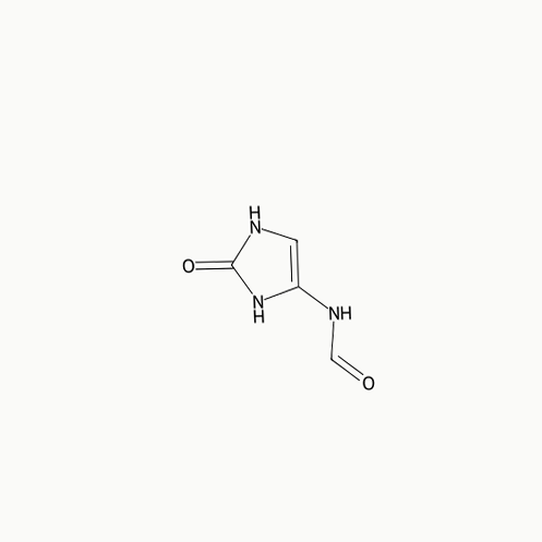 O=CNc1c[nH]c(=O)[nH]1